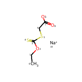 CCOC(=S)SCC(=O)[O-].[Na+]